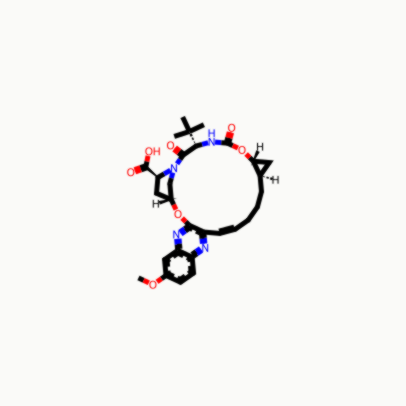 COc1ccc2nc3c(nc2c1)O[C@@H]1C[C@@H](C(=O)O)N(C1)C(=O)[C@H](C(C)(C)C)NC(=O)O[C@@H]1C[C@H]1CCCC=C3